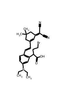 CCN(CC)c1ccc(C=CC2=CC(=C(C#N)C#N)CC(C)(C)C2)c(C(CCBr)C(=O)O)c1